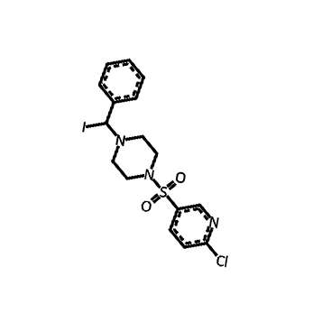 O=S(=O)(c1ccc(Cl)nc1)N1CCN(C(I)c2ccccc2)CC1